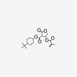 C=C(C)C(=O)OC1COC(=O)C1C(=O)OC1CCC(C(C)(C)C)CC1